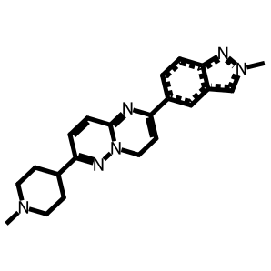 CN1CCC(C2=NN3CC=C(c4ccc5nn(C)cc5c4)N=C3C=C2)CC1